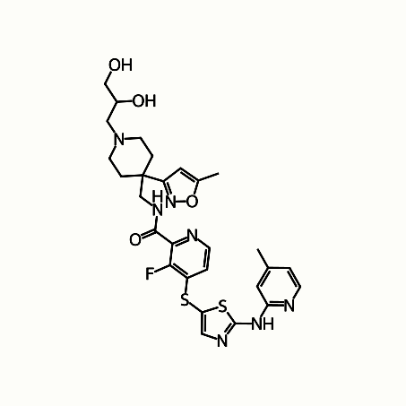 Cc1ccnc(Nc2ncc(Sc3ccnc(C(=O)NCC4(c5cc(C)on5)CCN(CC(O)CO)CC4)c3F)s2)c1